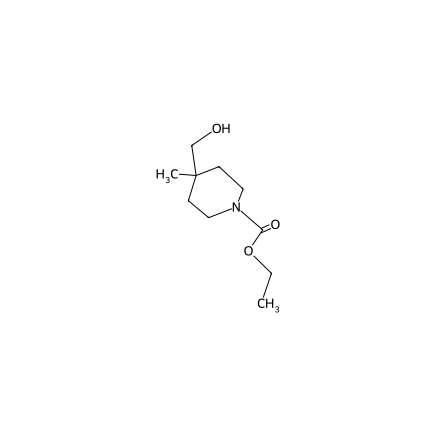 CCOC(=O)N1CCC(C)(CO)CC1